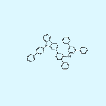 c1ccc(-c2ccc(-n3c4ccccc4c4ccc(-c5ccc(-c6ccccc6)c(Nc6cc(-c7ccccc7)cc(-c7ccccc7)c6)c5)cc43)cc2)cc1